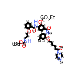 CCOC(=O)COc1cc(C(=O)N(C)c2ccc(C)cc2OCCCCCC(=O)N2CCN(C)CC2)ccc1NC(=O)c1ccccc1OCCCNC(=O)OC(C)(C)C